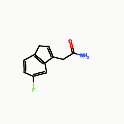 NC(=O)CC1=CCc2ccc(F)cc21